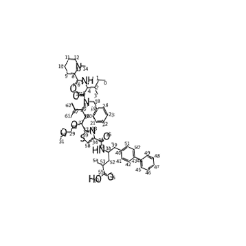 CCC(C)C(NC(=O)C1CCCCN1C)C(=O)N(Cc1ccccc1)C(CC(OCOC)c1nc(C(=O)NC(Cc2ccc(-c3ccccc3)cc2)CC(C)C(=O)O)cs1)C(C)C